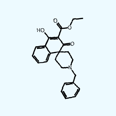 CCOC(=O)C1=C(O)c2ccccc2C2(CCN(Cc3ccccc3)CC2)C1=O